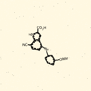 COc1cccc(Nc2ccc(C#N)c3[nH]c(C(=O)O)cc23)c1